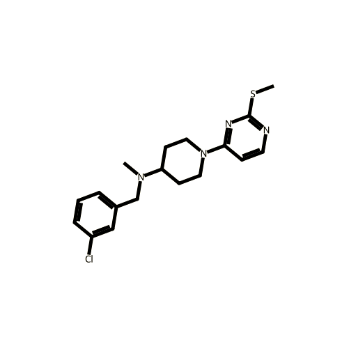 CSc1nccc(N2CCC(N(C)Cc3cccc(Cl)c3)CC2)n1